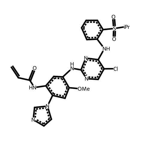 C=CC(=O)Nc1cc(Nc2ncc(Cl)c(Nc3ccccc3S(=O)(=O)C(C)C)n2)c(OC)cc1-n1ccnc1